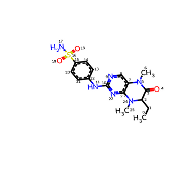 CCC1C(=O)N(C)c2cnc(Nc3ccc(S(N)(=O)=O)cc3)nc2N1C